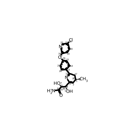 C[C@H]1C=C([C@@H](O)[C@H](O)C(N)=O)N=C(c2ccc(Oc3ccc(Cl)cn3)cc2)C1